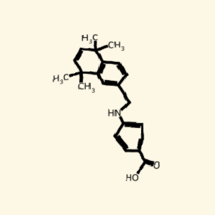 CC1(C)C=CC(C)(C)c2cc(CNc3ccc(C(=O)O)cc3)ccc21